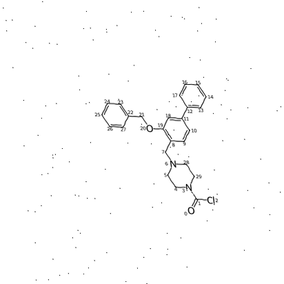 O=C(Cl)N1CCN(Cc2ccc(-c3ccccc3)cc2OCc2ccccc2)CC1